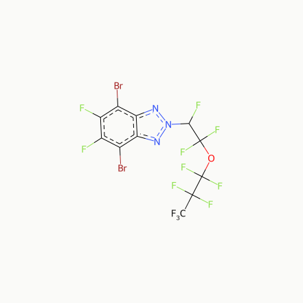 Fc1c(F)c(Br)c2nn(C(F)C(F)(F)OC(F)(F)C(F)(F)C(F)(F)F)nc2c1Br